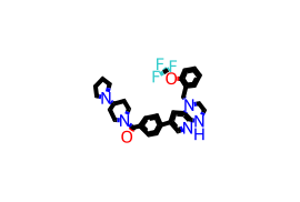 O=C(c1ccc(-c2cnc3c(c2)N(Cc2ccccc2OC(F)(F)F)CCN3)cc1)N1CCC(N2CCCC2)CC1